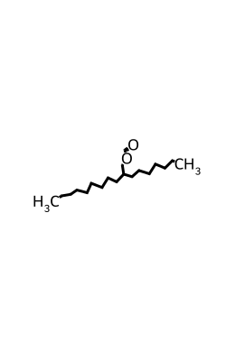 CCCCCCCCCC(CCCCCCC)COC=O